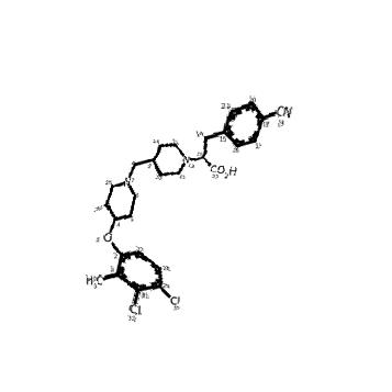 Cc1c(OC2CCN(CC3CCN([C@@H](Cc4ccc(C#N)cc4)C(=O)O)CC3)CC2)ccc(Cl)c1Cl